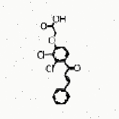 O=C(O)COc1ccc(C(=O)/C=C/c2ccccc2)c(Cl)c1Cl